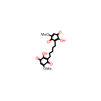 COC1=CC(=O)C(O)=C(CCCCCC2=C(O)C(=O)C=C(OC)C2=O)C1=O